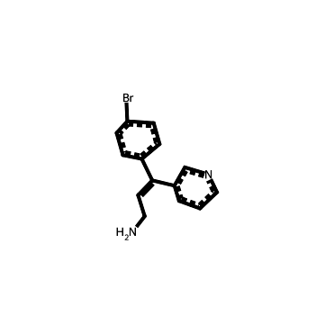 NCC=C(c1ccc(Br)cc1)c1cccnc1